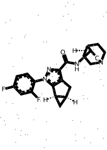 O=C(N[C@@H]1CN2CCC1CC2)c1nn(-c2ccc(F)cc2F)c2c1C[C@H]1C[C@@H]21